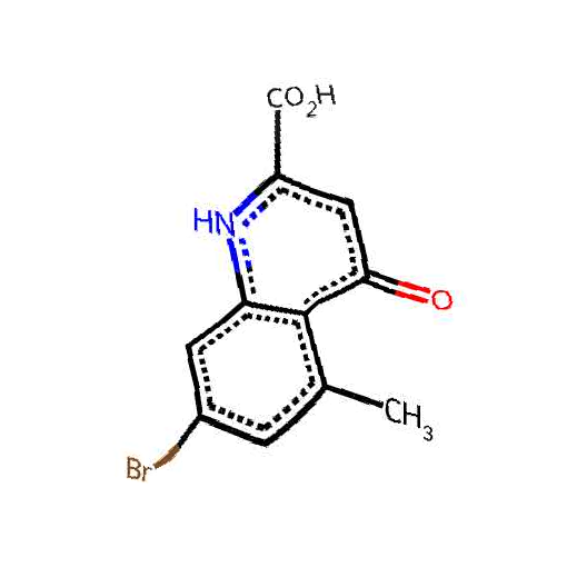 Cc1cc(Br)cc2[nH]c(C(=O)O)cc(=O)c12